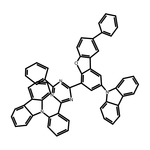 c1ccc(-c2ccc3oc4c(-c5nc(-c6ccccc6)nc(-c6ccccc6-n6c7ccccc7c7ccccc76)n5)cc(-n5c6ccccc6c6ccccc65)cc4c3c2)cc1